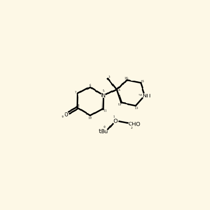 CC(C)(C)OC=O.CC1(N2CCC(=O)CC2)CCNCC1